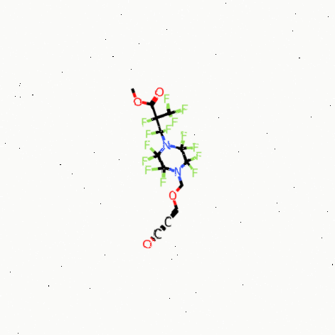 COC(=O)C(F)(C(F)(F)F)C(F)(F)N1C(F)(F)C(F)(F)N(COC=C=C=O)C(F)(F)C1(F)F